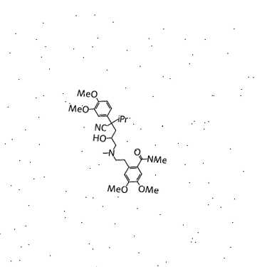 CNC(=O)c1cc(OC)c(OC)cc1CCN(C)CC(O)CC(C#N)(c1ccc(OC)c(OC)c1)C(C)C